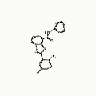 O=C(Nc1ccccn1)c1cccc2[nH]c(-c3cc(F)ccc3C(F)(F)F)nc12